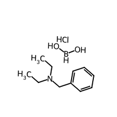 CCN(CC)Cc1ccccc1.Cl.OBO